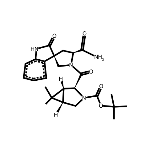 CC(C)(C)OC(=O)N1C[C@H]2[C@@H]([C@H]1C(=O)N1C[C@]3(C[C@H]1C(N)=O)C(=O)Nc1ccccc13)C2(C)C